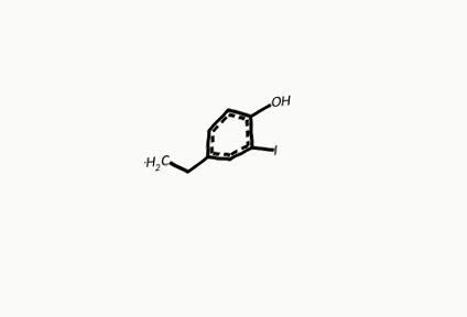 [CH2]Cc1ccc(O)c(I)c1